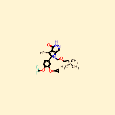 CCCc1c(-c2ccc(OC(F)F)c(OC3CC3)c2)n(COCC[Si](C)(C)C)c2cn[nH]c(=O)c12